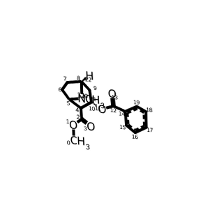 COC(=O)C1C2CC[C@H](C[C@@H]1OC(=O)c1ccccc1)N2[11CH3]